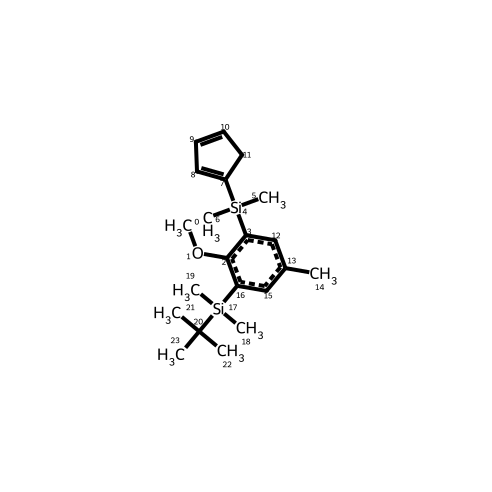 COc1c([Si](C)(C)C2=CC=CC2)cc(C)cc1[Si](C)(C)C(C)(C)C